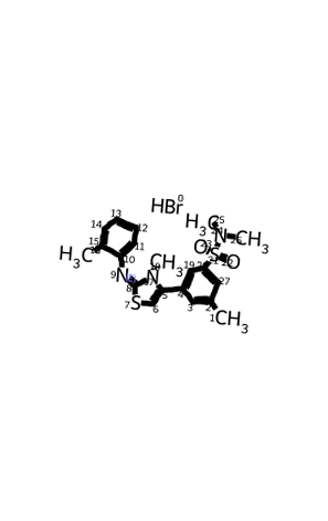 Br.Cc1cc(-c2cs/c(=N/c3ccccc3C)n2C)cc(S(=O)(=O)N(C)C)c1